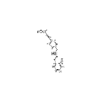 CCCCCCCCC#Cc1ccc(CNCCc2ccccc2F)cc1